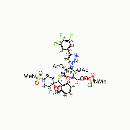 CNS(=O)(=O)Cl.CNS(=O)(=O)N1CCC(O)(C(S[C@@H]2O[C@H](COC(C)=O)[C@H](OC(C)=O)[C@H](n3cc(-c4cc(F)c(F)c(F)c4)nn3)[C@H]2OC(C)=O)c2ccccc2C(F)(F)F)CC1